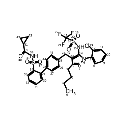 CCCCc1nn(-c2ccccc2Cl)c(NS(=O)(=O)C(F)(F)F)c1Cc1ccc(-c2ccccc2S(=O)(=O)NC(=O)C2CC2)cc1